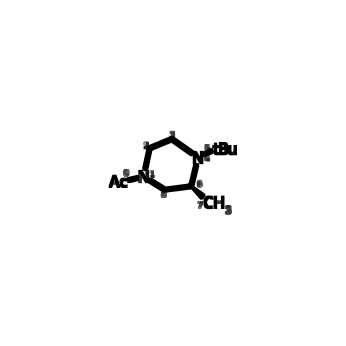 CC(=O)N1CCN(C(C)(C)C)[C@@H](C)C1